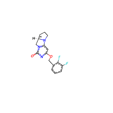 O=c1nc(OCc2cccc(F)c2F)cc2n1C[C@H]1CCCN21